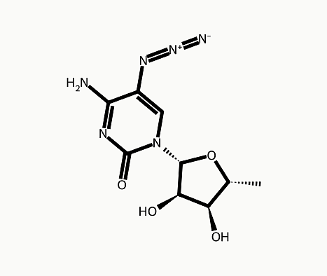 C[C@H]1O[C@@H](n2cc(N=[N+]=[N-])c(N)nc2=O)[C@H](O)[C@@H]1O